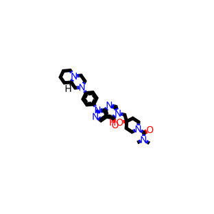 CN(C)C(=O)N1CCC(O)(Cn2cnc3c(cnn3-c3ccc(N4CCN5CCCC[C@@H]5C4)cc3)c2=O)CC1